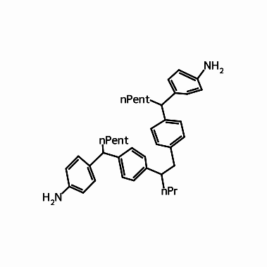 CCCCCC(c1ccc(N)cc1)c1ccc(CC(CCC)c2ccc(C(CCCCC)c3ccc(N)cc3)cc2)cc1